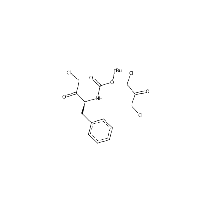 CC(C)(C)OC(=O)N[C@@H](Cc1ccccc1)C(=O)CCl.O=C(CCl)CCl